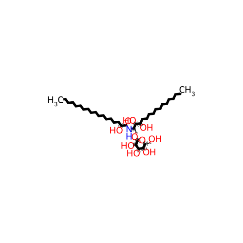 CCCCCCCCCCCCCCCC[C@@H](O)C(=O)N[C@@H](CO[C@@H]1O[C@H](CO)[C@@H](O)[C@H](O)[C@H]1O)[C@H](O)[C@H](O)CCCCCCCCCCCCC